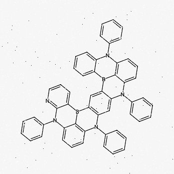 c1ccc(N2c3ccccc3B3c4cc5c(cc4N(c4ccccc4)c4cccc2c43)N(c2ccccc2)c2cccc3c2B5c2cccnc2N3c2ccccc2)cc1